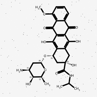 COc1cccc2c1C(=O)c1c(O)c3c(c(O)c1C2=O)C[C@@](O)(C(=O)NC(C)C)C[C@@H]3O[C@H]1C[C@H](N)[C@H](O)[C@H](C)O1